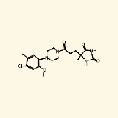 COc1cc(Cl)c(C)cc1N1CCN(C(=O)CCC2(C)NC(=O)NC2=O)CC1